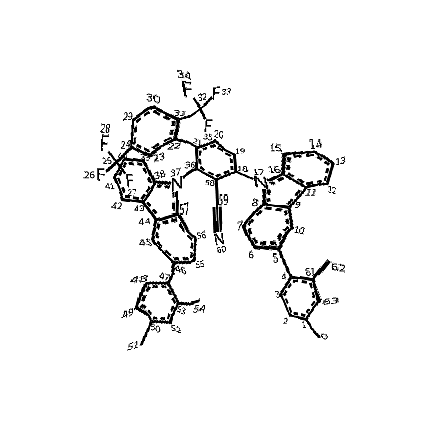 Cc1ccc(-c2ccc3c(c2)c2ccccc2n3-c2ccc(-c3cc(C(F)(F)F)ccc3C(F)(F)F)c(-n3c4ccccc4c4cc(-c5ccc(C)cc5C)ccc43)c2C#N)c(C)c1